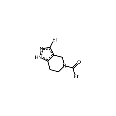 CCC(=O)N1CCc2[nH]nc(CC)c2C1